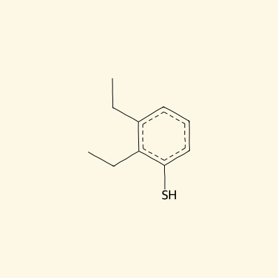 CCc1cccc(S)c1CC